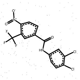 O=C(Nc1ccc(Cl)c(Cl)c1)c1ccc([N+](=O)[O-])c(C(F)(F)F)c1